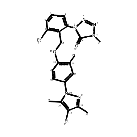 CCc1cccc(-n2nnn(C)c2=O)c1COc1ccc(-n2nc(C)c(CC)c2C)cc1C